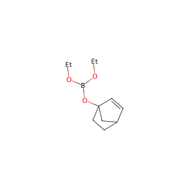 CCOB(OCC)OC12C=CC(CC1)C2